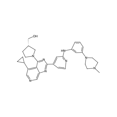 CN1CCN(c2cccc(Nc3cc(-c4nc(N5CC[C@H](CO)C5)c5c(C6CC6)cncc5n4)ccn3)c2)CC1